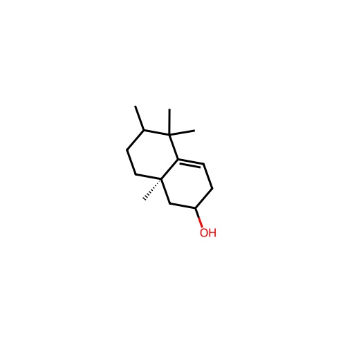 CC1CC[C@]2(C)CC(O)CC=C2C1(C)C